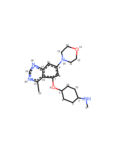 CNC1CCC(Oc2cc(N3CCOCC3)cc3ncnc(C)c23)CC1